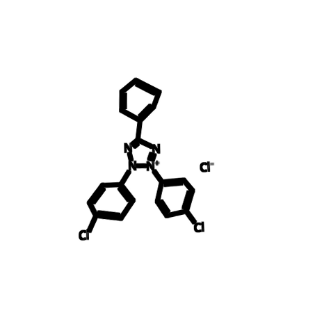 Clc1ccc(-n2nc(-c3ccccc3)n[n+]2-c2ccc(Cl)cc2)cc1.[Cl-]